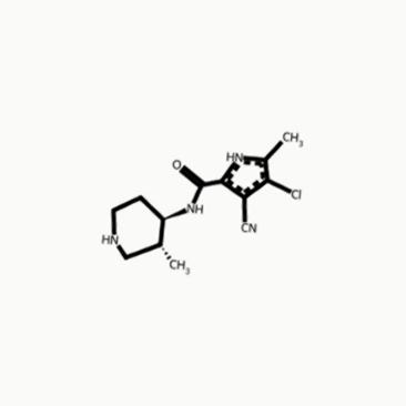 Cc1[nH]c(C(=O)N[C@@H]2CCNC[C@H]2C)c(C#N)c1Cl